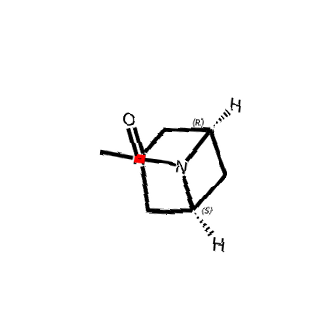 CN1C[C@H]2C[C@@H](C1)N2C=O